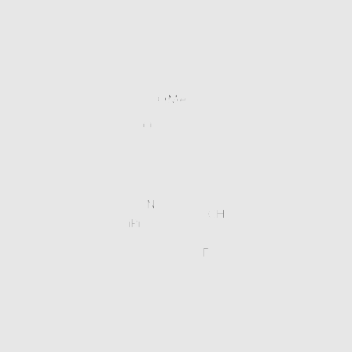 COCOc1ccc2c(c1)cc(C(C)C)n2-c1ccc(F)c(C)c1